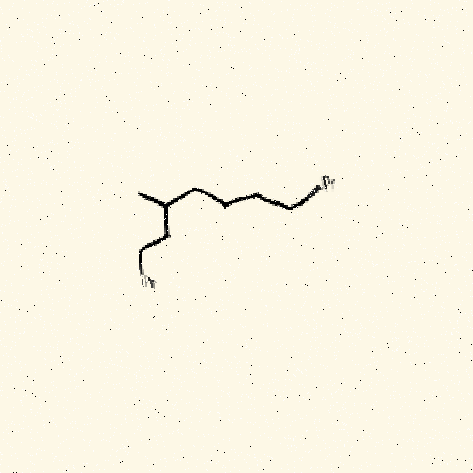 CC(C)CC[CH]CC(C)CCC(C)C